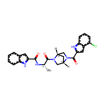 CC(C)(C)[C@H](NC(=O)c1cc2ccccc2[nH]1)C(=O)N1C[C@@H]2C[C@H]1CN2C(=O)c1cc2c(Cl)cccc2[nH]1